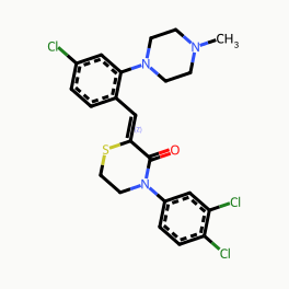 CN1CCN(c2cc(Cl)ccc2/C=C2\SCCN(c3ccc(Cl)c(Cl)c3)C2=O)CC1